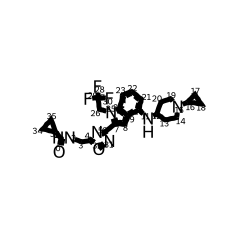 O=C(NCc1nc(-c2cc3c(NC4CCN(C5CC5)CC4)cccc3n2CC(F)(F)F)no1)C1CC1